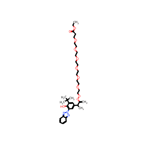 C=C(OOCCOCCOCCOCCOCCOCCOCCC(=O)OCC)C(C)c1cc(-n2nc3ccccc3n2)c(O)c(C(C)(C)C)c1